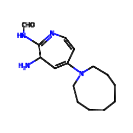 NC1C=C(N2CCCCCCCC2)C=CN=C1NC=O